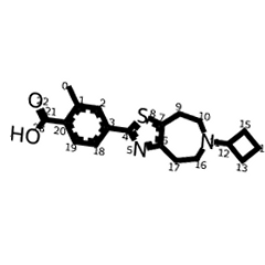 Cc1cc(-c2nc3c(s2)CCN(C2CCC2)CC3)ccc1C(=O)O